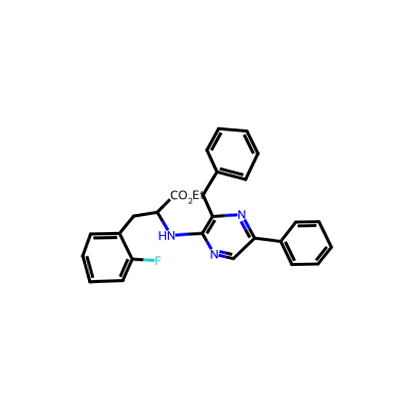 CCOC(=O)C(Cc1ccccc1F)Nc1ncc(-c2ccccc2)nc1Cc1ccccc1